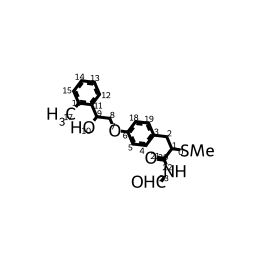 CSC(Cc1ccc(OCC(O)c2ccccc2C)cc1)C(=O)NC=O